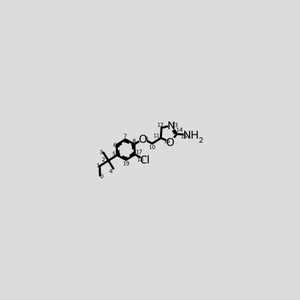 CCC(C)(C)c1ccc(OCC2CN=C(N)O2)c(Cl)c1